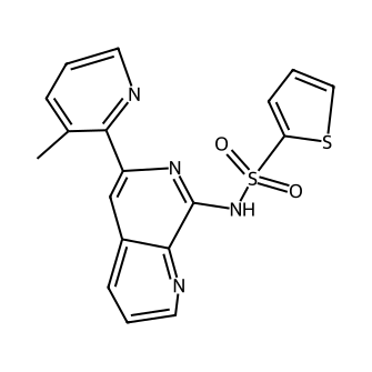 Cc1cccnc1-c1cc2cccnc2c(NS(=O)(=O)c2cccs2)n1